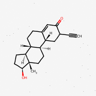 C#CC1C[C@H]2C(=CC1=O)CC[C@@H]1[C@@H]2CC[C@]2(C)[C@@H](O)CC[C@@H]12